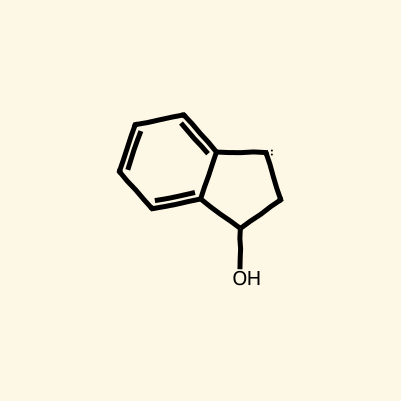 OC1C[C]c2ccccc21